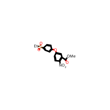 CCS(=O)(=O)c1ccc(Oc2ccc([N+](=O)[O-])c(C(=O)OC)c2)cc1